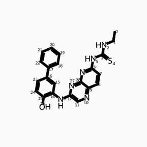 CCNC(=S)Nc1ccc2ncc(Nc3cc(-c4ccccc4)ccc3O)nc2n1